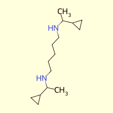 CC(NCCCCCNC(C)C1CC1)C1CC1